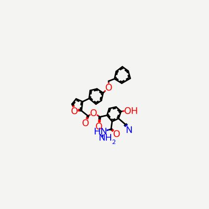 N#Cc1c(O)ccc(C(=O)OC(=O)c2occc2-c2ccc(OCc3ccccc3)cc2)c1C(=O)NN